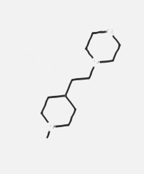 CC(=O)ON1CCC(CCN2CCNCC2)CC1.Cl.Cl.Cl